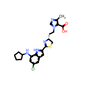 Cc1ncn(CC[C@@H]2CSC(c3cc4cc(Cl)cc(NC5CCCC5)c4[nH]3)=N2)c1C(=O)O